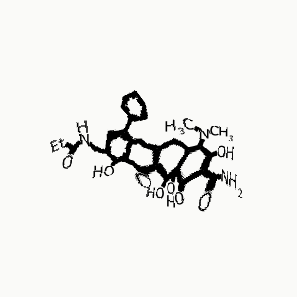 CCC(=O)NCc1cc(-c2ccccc2)c2c(c1O)C(=O)C1=C(O)C3(O)C(=O)C(C(N)=O)=C(O)C(N(C)C)C3CC1C2